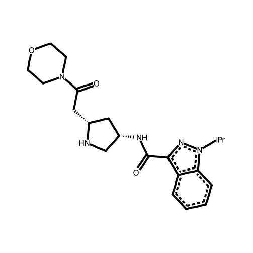 CC(C)n1nc(C(=O)N[C@@H]2CN[C@H](CC(=O)N3CCOCC3)C2)c2ccccc21